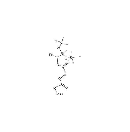 CCCCCCCCOC(=O)/C=C/C(=O)OC(CC)[Si](C)(O[Si](C)(C)C)O[Si](C)(C)C